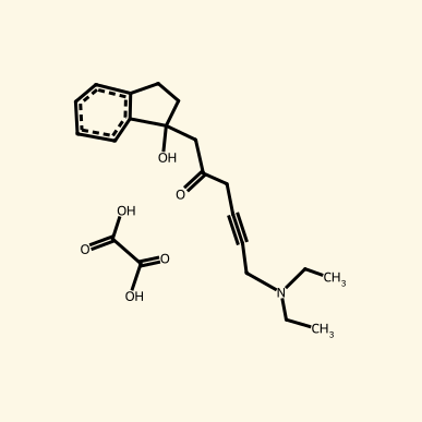 CCN(CC)CC#CCC(=O)CC1(O)CCc2ccccc21.O=C(O)C(=O)O